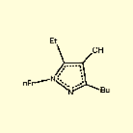 CCCn1nc(C(C)CC)c(O)c1CC